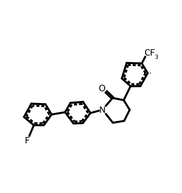 O=C1C(c2c[c]c(C(F)(F)F)cc2)CCCN1c1ccc(-c2cccc(F)c2)cc1